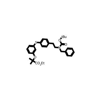 CCOC(=O)C(C)(C)Oc1cccc(Sc2ccc(CCN(Cc3ccccc3)C(=O)OC(C)(C)C)cc2)c1